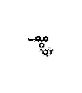 O=C1CO[C@H]2CCN(C(=O)N3CCC([C@@H](c4ccccc4)c4cccc(OCCF)c4)CC3)C[C@H]2N1